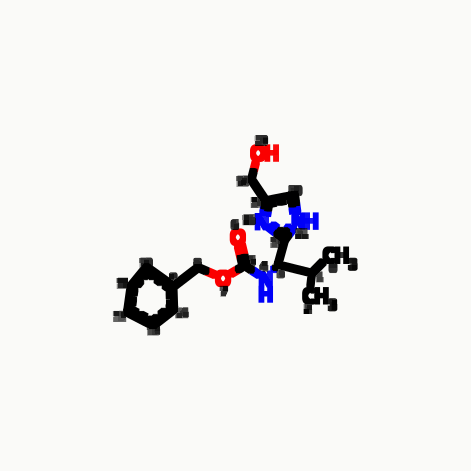 CC(C)[C@H](NC(=O)OCc1ccccc1)c1nc(CO)c[nH]1